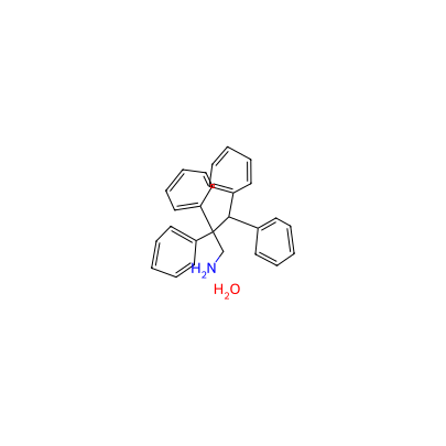 NCC(c1ccccc1)(c1ccccc1)C(c1ccccc1)c1ccccc1.O